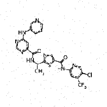 CC(NC(=O)c1cc(Nc2cccnc2)ncn1)c1ncc(C(=O)Nc2cc(C(F)(F)F)c(Cl)cn2)s1